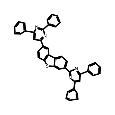 c1ccc(-c2cc(-c3ccc4sc5cc(-c6nc(-c7ccccc7)cc(-c7ccccc7)n6)ccc5c4c3)nc(-c3ccccc3)n2)cc1